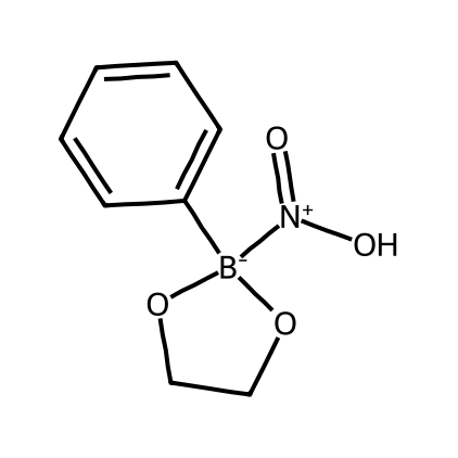 O=[N+](O)[B-]1(c2ccccc2)OCCO1